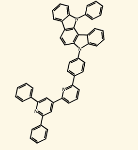 c1ccc(-c2cc(-c3cccc(-c4ccc(-n5c6ccccc6c6c5ccc5c7ccccc7n(-c7ccccc7)c56)cc4)n3)cc(-c3ccccc3)n2)cc1